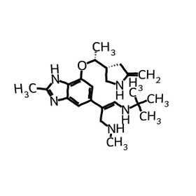 C=C1C[C@@H]([C@@H](C)Oc2cc(/C(=C/NC(C)(C)C)CNC)cc3nc(C)[nH]c23)CN1